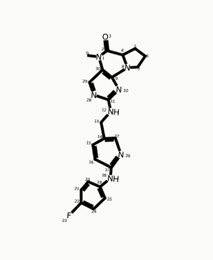 CN1C(=O)C2CCCN2c2nc(NCc3ccc(Nc4ccc(F)cc4)nc3)ncc21